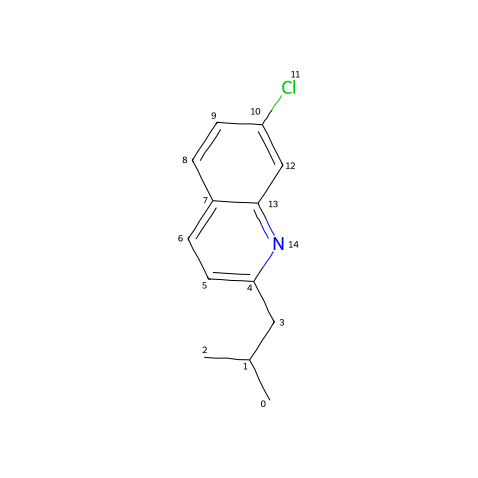 CC(C)Cc1ccc2ccc(Cl)cc2n1